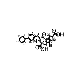 C[C@H](NC(Cc1ccc(-c2ccccc2)cc1)C(=O)Nc1cc(C(=O)O)n[nH]1)C(=O)O